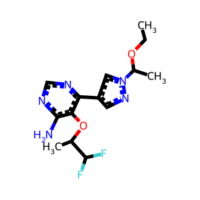 CCOC(C)n1cc(-c2ncnc(N)c2OC(C)C(F)F)cn1